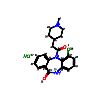 CN1CCC(CC(=O)N2c3ccccc3C(=O)Nc3cccc(Cl)c32)CC1.Cl